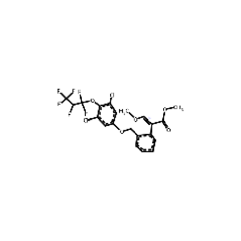 CO/C=C(/C(=O)OC)c1ccccc1COc1cc(Cl)c(OC(F)(F)C(F)C(F)(F)F)c(Cl)c1